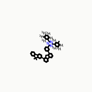 [2H]c1c([2H])c([2H])c(-c2nc(-c3cccc(-c4cccc5c4Cc4c(-c6ccc7c(c6)C(C)(C)c6ccccc6-7)cccc4-5)c3)nc(-c3c([2H])c([2H])c([2H])c(C)c3[2H])n2)c([2H])c1[2H]